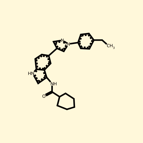 CCc1ccc(-n2cc(-c3ccc4[nH]cc(NC(=O)C5CCCCC5)c4c3)cn2)cc1